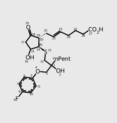 CCCCCC(O)(COc1ccc(F)cc1)CS[C@H]1C(O)CC(=O)[C@@H]1CC=CCCCC(=O)O